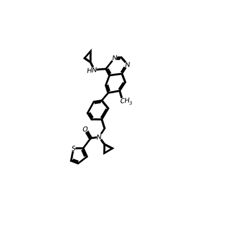 Cc1cc2ncnc(NC3CC3)c2cc1-c1cccc(CN(C(=O)c2cccs2)C2CC2)c1